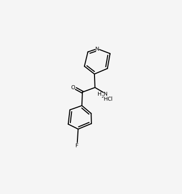 Cl.NC(C(=O)c1ccc(F)cc1)c1ccncc1